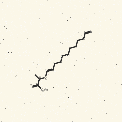 C=CCCCCCCCCC=COC(C)C(=O)OC